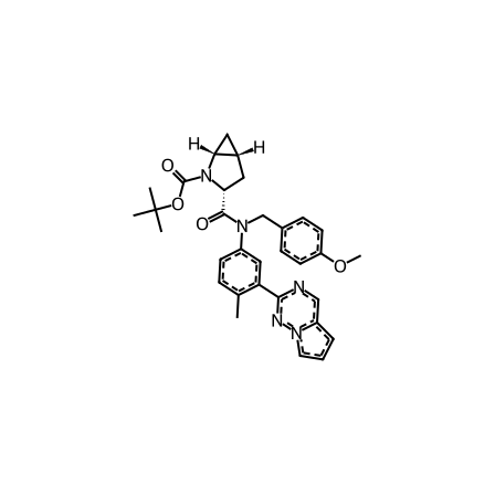 COc1ccc(CN(C(=O)[C@H]2C[C@H]3C[C@H]3N2C(=O)OC(C)(C)C)c2ccc(C)c(-c3ncc4cccn4n3)c2)cc1